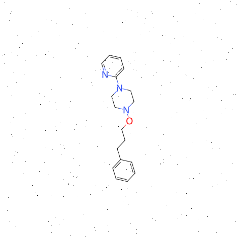 c1ccc(CCCON2CCN(c3ccccn3)CC2)cc1